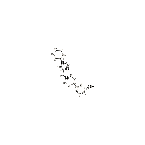 Oc1cccc(C2CCN(Cc3cn(C4CCCCC4)nn3)CC2)c1